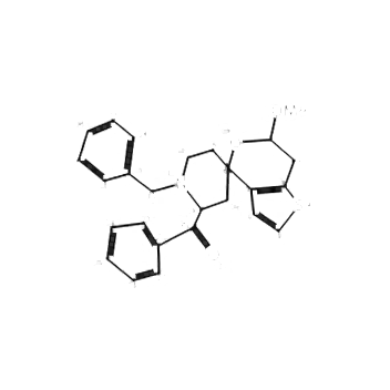 COC1Cc2sccc2C2(CCN(Cc3ccccc3)C(C(=O)c3ccccc3)C2)O1